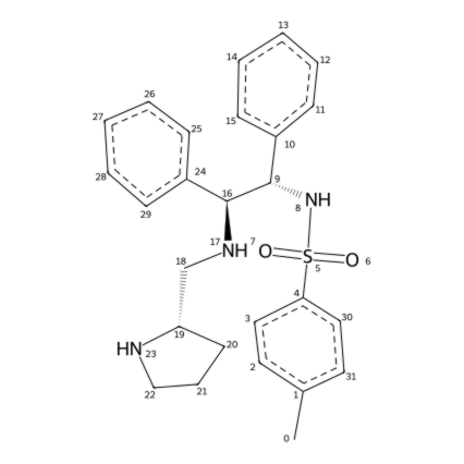 Cc1ccc(S(=O)(=O)N[C@@H](c2ccccc2)[C@@H](NC[C@@H]2CCCN2)c2ccccc2)cc1